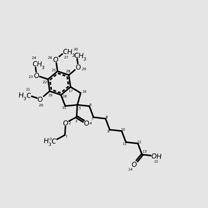 CCOC(=O)C1(CCCCCCCC(=O)O)Cc2c(c(OC)c(OC)c(OC)c2OC)C1